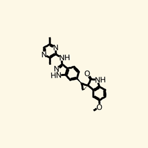 COc1ccc2c(c1)[C@]1(C[C@H]1c1ccc3c(Nc4nc(C)cnc4C)n[nH]c3c1)C(=O)N2